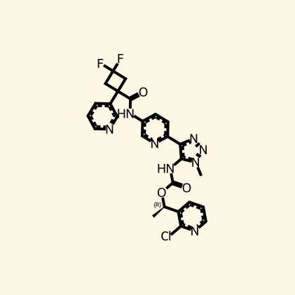 C[C@@H](OC(=O)Nc1c(-c2ccc(NC(=O)C3(c4cccnc4)CC(F)(F)C3)cn2)nnn1C)c1cccnc1Cl